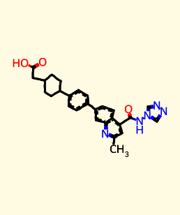 Cc1cc(C(=O)Nn2cnnc2)c2ccc(-c3ccc(C4CCC(CC(=O)O)CC4)cc3)cc2n1